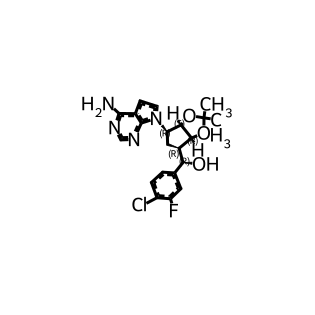 CC1(C)O[C@@H]2[C@@H]([C@@H](O)c3ccc(Cl)c(F)c3)C[C@@H](n3ccc4c(N)ncnc43)[C@@H]2O1